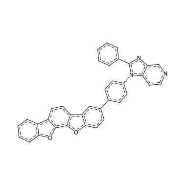 c1ccc(-c2nc3cnccc3n2-c2ccc(-c3ccc4oc5c(ccc6c7ccccc7oc65)c4c3)cc2)cc1